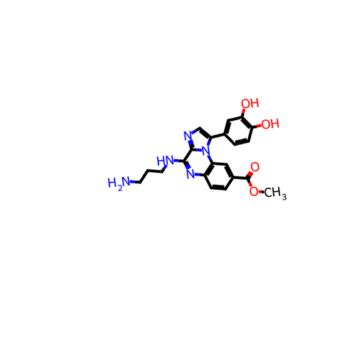 COC(=O)c1ccc2nc(NCCCN)c3ncc(-c4ccc(O)c(O)c4)n3c2c1